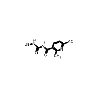 CCNC(=O)NC(=O)c1ccc(C(C)=O)nc1C